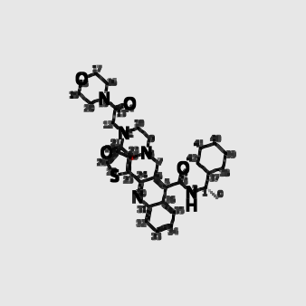 C[C@H](NC(=O)c1c(CN2CCN(CC(=O)N3CCOCC3)C(=O)C2)c(-c2cccs2)nc2ccccc12)C1CCCCC1